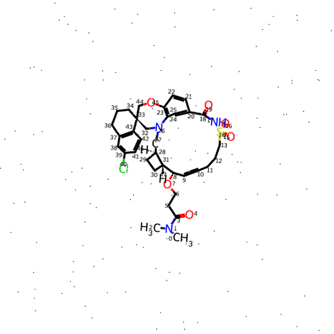 CN(C)C(=O)CCO[C@@H]1/C=C/CCCS(=O)(=O)NC(=O)c2ccc3c(c2)N(C[C@@H]2CC[C@H]21)C[C@@]1(CCCc2cc(Cl)ccc21)CO3